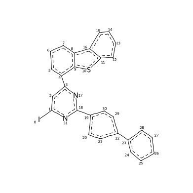 Ic1cc(-c2cccc3c2sc2ccccc23)nc(-c2ccc(-c3ccccc3)cc2)n1